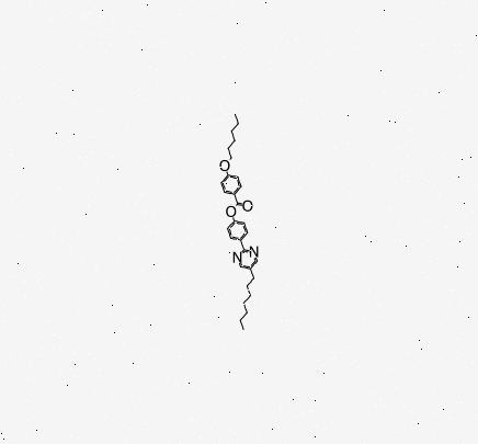 CCCCCCCc1cnc(-c2ccc(OC(=O)c3ccc(OCCCCCC)cc3)cc2)nc1